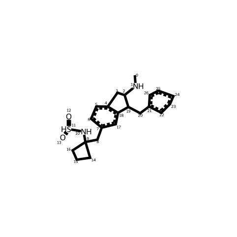 CNC1Cc2ccc(CC3(N[SH](=O)=O)CCC3)cc2C1Cc1ccccc1